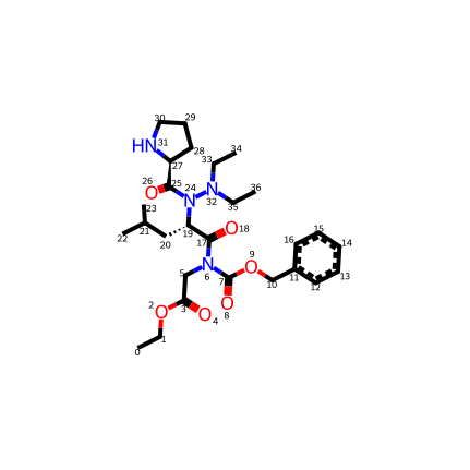 CCOC(=O)CN(C(=O)OCc1ccccc1)C(=O)[C@H](CC(C)C)N(C(=O)[C@@H]1CCCN1)N(CC)CC